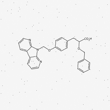 O=C(O)C(Cc1ccc(OCn2c3ncccc3c3cccnc32)cc1)OCc1ccccc1